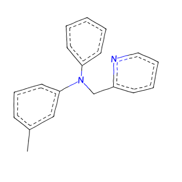 Cc1cccc(N(Cc2ccccn2)c2ccccc2)c1